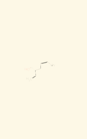 C=C[C@H](CO)C/C=C\CCC